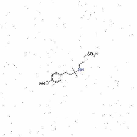 COc1ccc(CCC(C)(C)NCCCS(=O)(=O)O)cc1